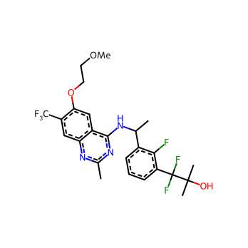 COCCOc1cc2c(NC(C)c3cccc(C(F)(F)C(C)(C)O)c3F)nc(C)nc2cc1C(F)(F)F